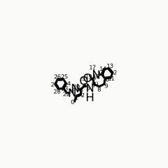 Cc1cc(C(=O)N[C@H]2CCc3ccccc3N(C)C2=O)nn1Cc1ccccc1